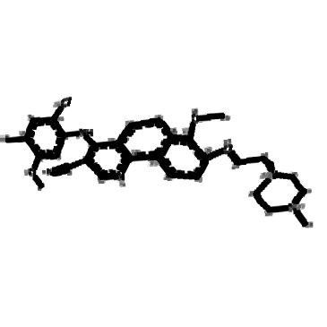 COc1cc(Nc2c(C#N)cnc3c2ccc2c(OC)c(OCCN4CCN(C)CC4)ccc23)c(Cl)cc1C